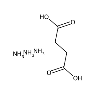 N.N.N.O=C(O)CCC(=O)O